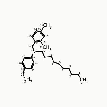 CCCCCCCCCCN(Cc1ccc(C)cc1C)c1ccc(OC)cc1